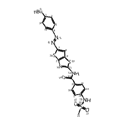 CCCCc1ccc(N=Nc2cc3sc(NC(=O)c4ccc(NS(C)(=O)=O)cc4)nc3s2)cc1